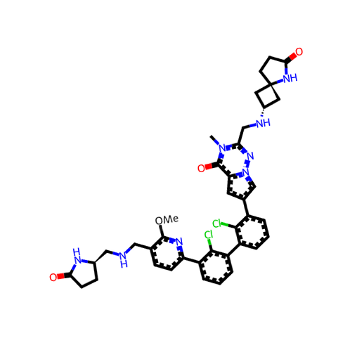 COc1nc(-c2cccc(-c3cccc(-c4cc5c(=O)n(C)c(CN[C@H]6C[C@]7(CCC(=O)N7)C6)nn5c4)c3Cl)c2Cl)ccc1CNC[C@H]1CCC(=O)N1